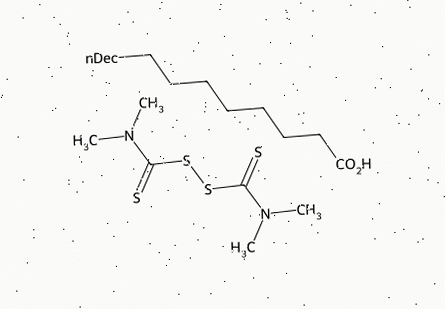 CCCCCCCCCCCCCCCCCC(=O)O.CN(C)C(=S)SSC(=S)N(C)C